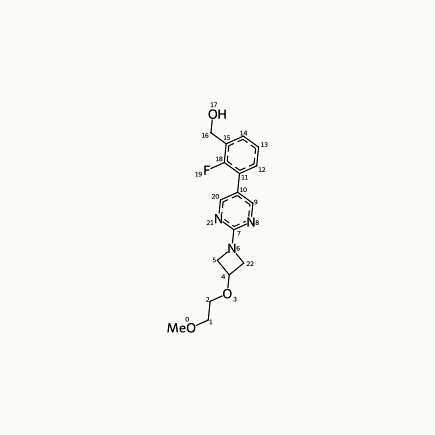 COCCOC1CN(c2ncc(-c3cccc(CO)c3F)cn2)C1